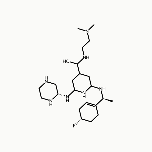 C[C@H](NC1CC(C(O)NCCN(C)C)CC(N[C@H]2CNCCN2)N1)C1=CC[C@@H](F)CC1